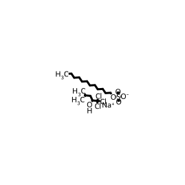 CC(C)CC(O)C(Cl)(Cl)Cl.CCCCCCCCCCCCOS(=O)(=O)[O-].[Na+]